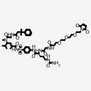 C/C(=C\C(C(C)C)N(C)C(=O)CNC(=O)CC(C)(C)c1cc#ccc1)C(=O)NS(=O)(=O)c1ccc(NC(=O)[C@H](CCCNC(N)=O)NC(=O)CNC(=O)CCOCCOCCOCCN2C(=O)C=CC2=O)cc1